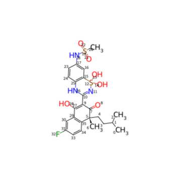 CC(C)CC[C@@]1(C)C(=O)C(C2=NS(O)(O)c3cc(NS(C)(=O)=O)ccc3N2)=C(O)c2cc(F)ccc21